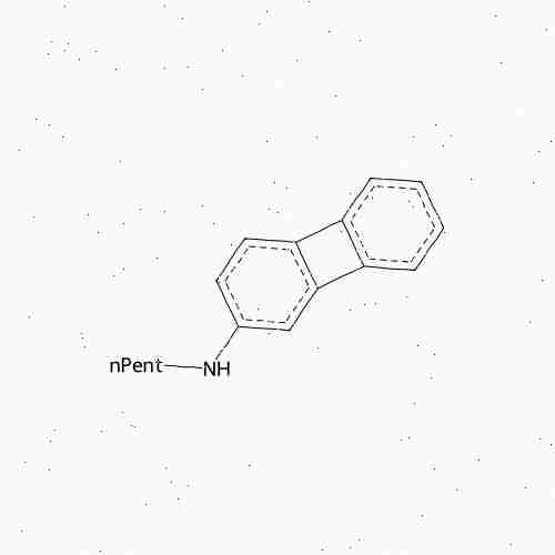 CCCCCNc1ccc2c(c1)-c1ccccc1-2